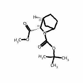 COC(=O)[C@@H]1[C@H]2CCC(C2)N1C(=O)OC(C)(C)C